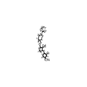 CC(C)OC(=O)N1CCC2(COc3ncnc(Oc4ccc(C#N)cc4Cl)c3O)CC2C1